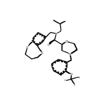 CC(C)CN(Cc1ccc2c(c1)OCCCO2)C(=O)C1CN(Cc2ccccc2OC(F)(F)F)CCO1